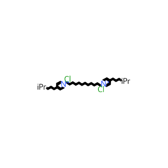 CC(C)CCCc1cc[n+](C(Cl)CCCCCCCCCCC(Cl)[n+]2ccc(CCCC(C)C)cc2)cc1